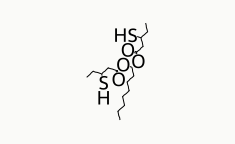 CCCCCCCC(OC(=O)CC(S)CC)OC(=O)CC(S)CC